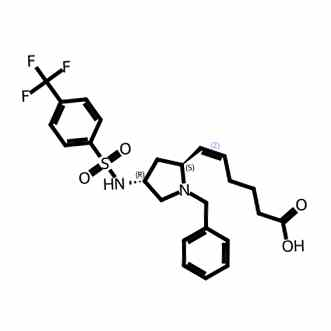 O=C(O)CCC/C=C\[C@@H]1C[C@@H](NS(=O)(=O)c2ccc(C(F)(F)F)cc2)CN1Cc1ccccc1